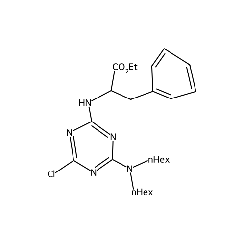 CCCCCCN(CCCCCC)c1nc(Cl)nc(NC(Cc2ccccc2)C(=O)OCC)n1